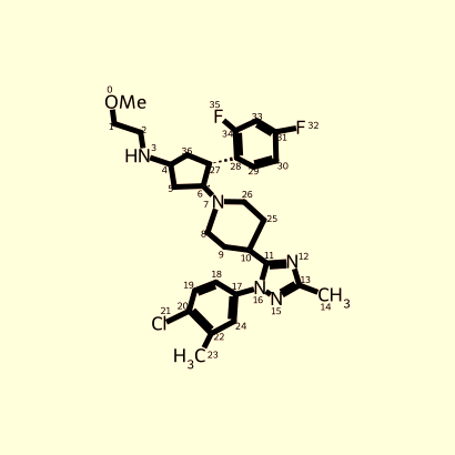 COCCNC1C[C](N2CCC(c3nc(C)nn3-c3ccc(Cl)c(C)c3)CC2)[C@@H](c2ccc(F)cc2F)C1